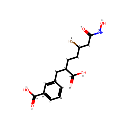 O=C(CC(S)CCC(Cc1cccc(C(=O)O)c1)C(=O)O)NO